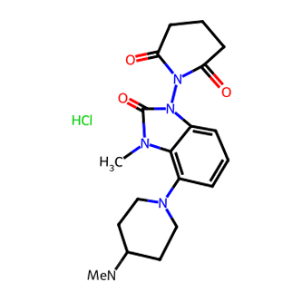 CNC1CCN(c2cccc3c2n(C)c(=O)n3N2C(=O)CCCC2=O)CC1.Cl